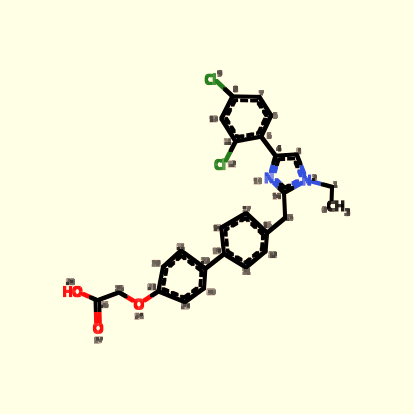 CCn1cc(-c2ccc(Cl)cc2Cl)nc1Cc1ccc(-c2ccc(OCC(=O)O)cc2)cc1